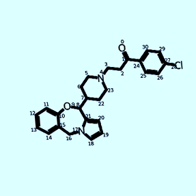 O=C(CCN1CCC(C2Oc3ccccc3Cn3cccc32)CC1)c1ccc(Cl)cc1